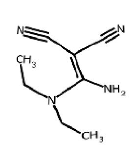 CCN(CC)C(N)=C(C#N)C#N